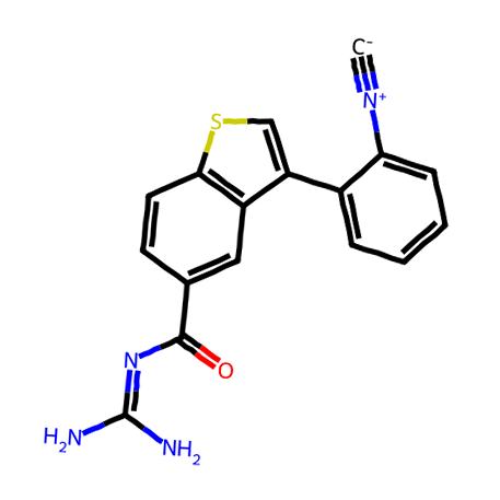 [C-]#[N+]c1ccccc1-c1csc2ccc(C(=O)N=C(N)N)cc12